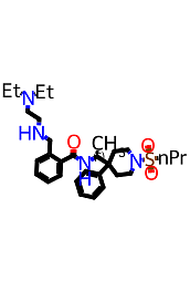 CCCS(=O)(=O)N1CCC(c2ccccc2)([C@H](C)NC(=O)c2ccccc2CNCCN(CC)CC)CC1